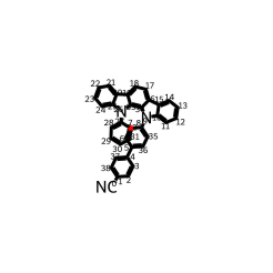 N#Cc1ccc(-c2ccc(-n3c4ccccc4c4ccc5c6ccccc6n(-c6ccccc6)c5c43)cc2)cc1